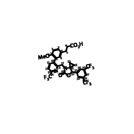 COc1ccc(CCC(=O)O)cc1-c1ccc(C(F)(F)F)nc1CN1C(=O)OC(c2cc(C(F)(F)F)cc(C(F)(F)F)c2)C12CC2